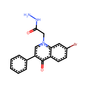 NNC(=O)Cn1cc(-c2ccccc2)c(=O)c2ccc(Br)cc21